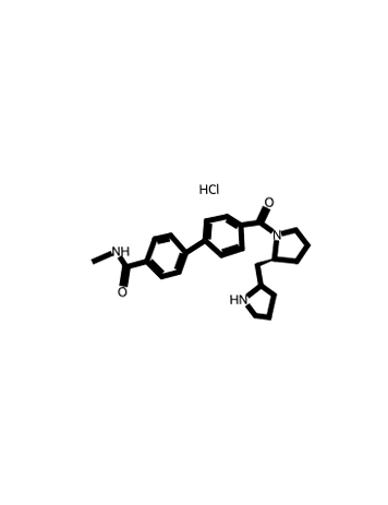 CNC(=O)c1ccc(-c2ccc(C(=O)N3CCC[C@H]3CC3CCCN3)cc2)cc1.Cl